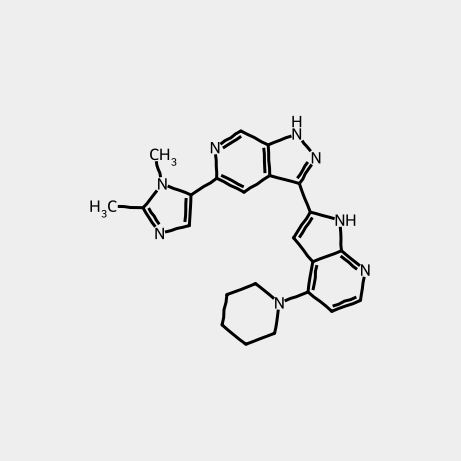 Cc1ncc(-c2cc3c(-c4cc5c(N6CCCCC6)ccnc5[nH]4)n[nH]c3cn2)n1C